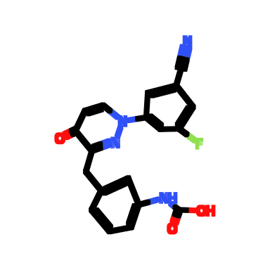 N#Cc1cc(F)cc(-n2ccc(=O)c(Cc3cccc(NC(=O)O)c3)n2)c1